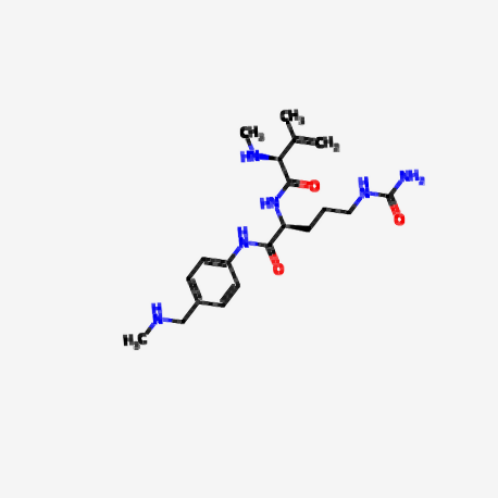 C=C(C)[C@H](NC)C(=O)N[C@@H](CCCNC(N)=O)C(=O)Nc1ccc(CNC)cc1